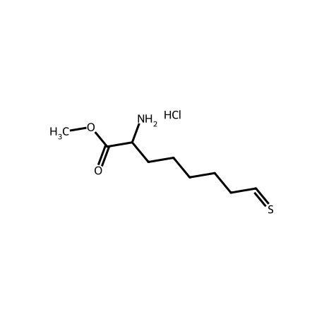 COC(=O)C(N)CCCCCC=S.Cl